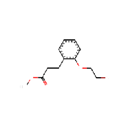 COC(=O)CCc1ccccc1OCCBr